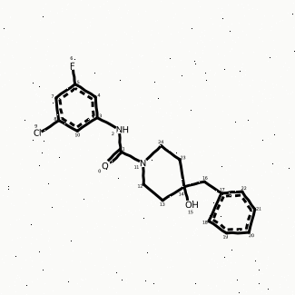 O=C(Nc1cc(F)cc(Cl)c1)N1CCC(O)(Cc2ccccc2)CC1